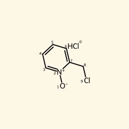 Cl.[O-][n+]1ccccc1CCl